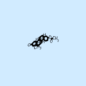 CC(=O)O[C@H]1CC[C@@H]2[C@@H](CC[C@H]3[C@H]2CC[C@@]2(C)CC(=O)C[C@H]32)C1